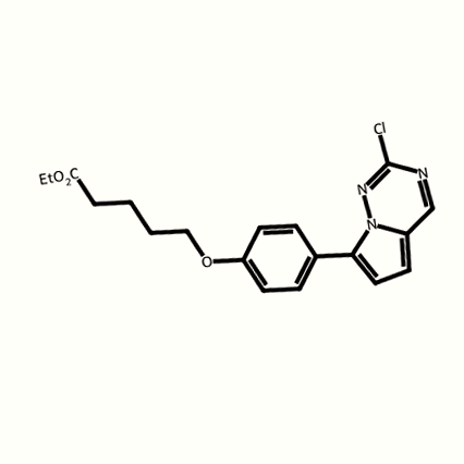 CCOC(=O)CCCCOc1ccc(-c2ccc3cnc(Cl)nn23)cc1